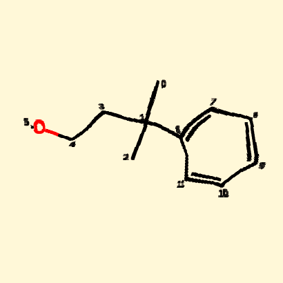 CC(C)(CC[O])c1ccccc1